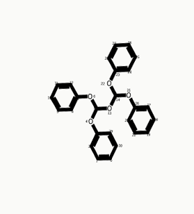 c1ccc(OC(Oc2ccccc2)OC(Oc2ccccc2)Oc2ccccc2)cc1